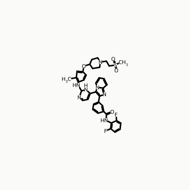 Cc1cc(OC2CCN(CCS(C)(=O)=O)CC2)ccc1NC1N=CC=C(c2c(-c3cccc(C(=O)Nc4c(F)cccc4F)c3)nc3ccccn23)N1